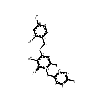 Cc1ncc(Cn2c(C)cc(OCc3ccc(F)cc3F)c(Br)c2=O)nn1